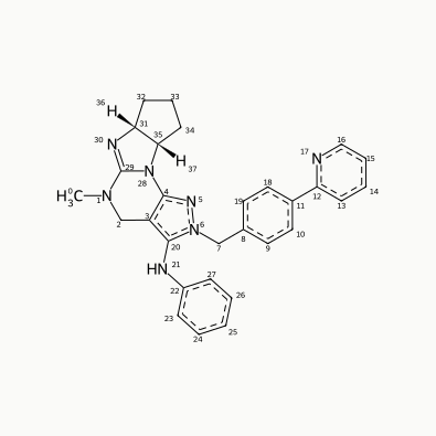 CN1Cc2c(nn(Cc3ccc(-c4ccccn4)cc3)c2Nc2ccccc2)N2C1=N[C@@H]1CCC[C@@H]12